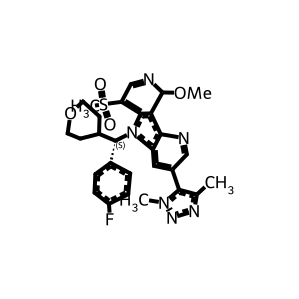 COC1N=CC(S(C)(=O)=O)=c2c1c1c(n2[C@H](c2ccc(F)cc2)C2CCOCC2)=C=C(c2c(C)nnn2C)C=N1